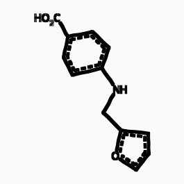 O=C(O)c1ccc(NCc2ccco2)cc1